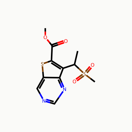 COC(=O)c1sc2cncnc2c1C(C)S(C)(=O)=O